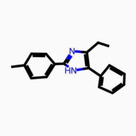 CCc1nc(-c2ccc(C)cc2)[nH]c1-c1ccccc1